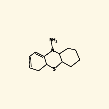 NN1C2=CC=CCC2SC2CCCCC21